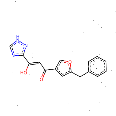 O=C(C=C(O)c1nc[nH]n1)c1coc(Cc2ccccc2)c1